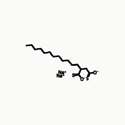 CCCCCCCCCCCCC(CC([O-])=S)C([O-])=S.[Na+].[Na+]